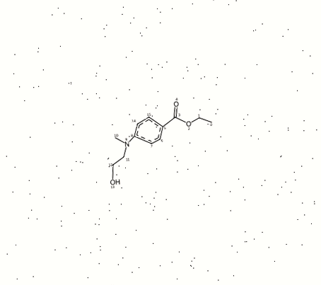 CCOC(=O)c1ccc(N(C)CCO)cc1